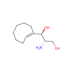 N[C@@H](CO)[C@H](O)/C1=C\CCCCCC1